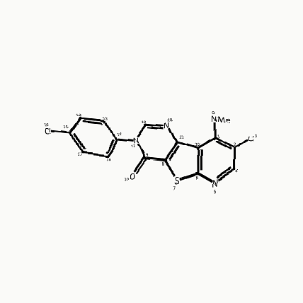 CNc1c(Cl)cnc2sc3c(=O)n(-c4ccc(Cl)cc4)cnc3c12